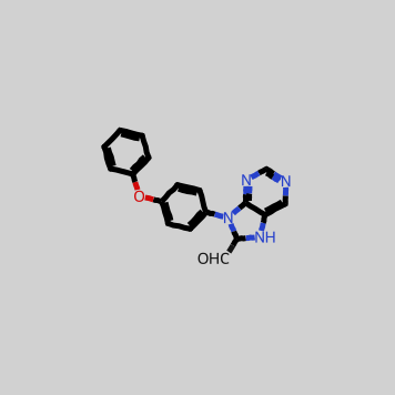 O=CC1Nc2cncnc2N1c1ccc(Oc2ccccc2)cc1